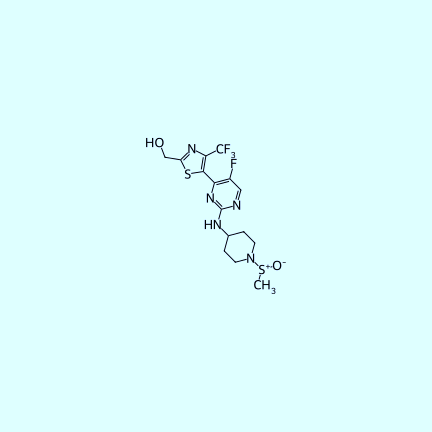 C[S+]([O-])N1CCC(Nc2ncc(F)c(-c3sc(CO)nc3C(F)(F)F)n2)CC1